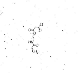 C=CC(=O)NCCOC(=O)CC(=O)CC